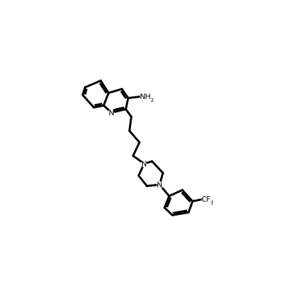 Nc1cc2ccccc2nc1CCCCN1CCN(c2cccc(C(F)(F)F)c2)CC1